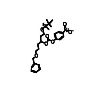 CC(C)(C)[Si](C)(C)OCCC(CCCOCc1ccccc1)OC(=O)Oc1ccc([N+](=O)[O-])cc1